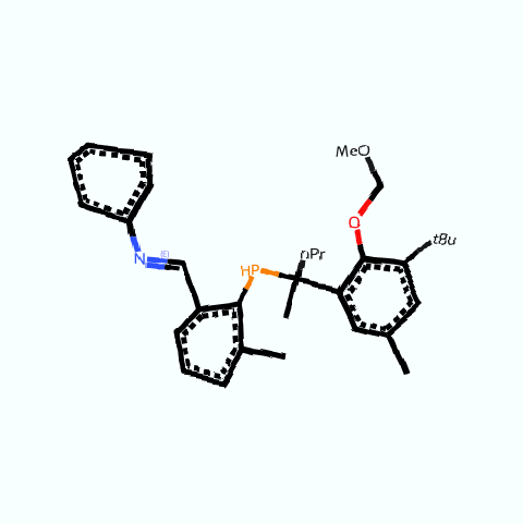 CCCC(C)(Pc1c(C)cccc1/C=N/c1ccccc1)c1cc(C)cc(C(C)(C)C)c1OCOC